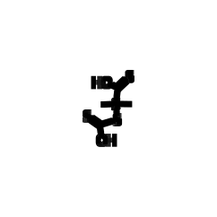 CS(C)(SC(O)=S)C(O)=S